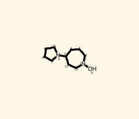 ON1CCCC(N2CCCC2)CC1